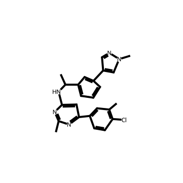 Cc1nc(NC(C)c2cccc(-c3cnn(C)c3)c2)cc(-c2ccc(Cl)c(C)c2)n1